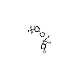 CCC(c1nc2ccc(Cl)cc2[nH]1)[C@H]1CC[C@H](c2ccnc(C(F)(F)F)c2)CC1